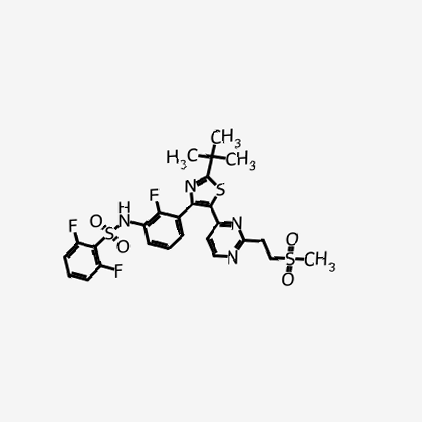 CC(C)(C)c1nc(-c2cccc(NS(=O)(=O)c3c(F)cccc3F)c2F)c(-c2ccnc(CCS(C)(=O)=O)n2)s1